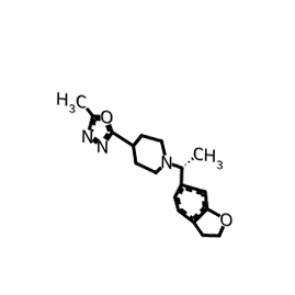 Cc1nnc(C2CCN([C@H](C)c3ccc4c(c3)OCC4)CC2)o1